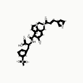 CS(=O)(=O)c1cccc(CC(NC(=O)c2c(Cl)cc3c4c2ccn4CN(C(=O)C=Cc2ccoc2)C3)C(=O)O)c1